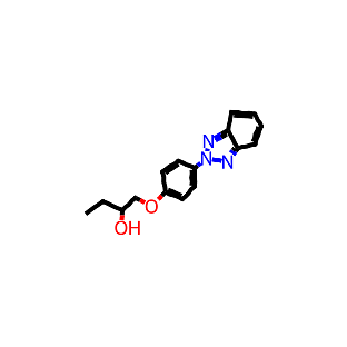 CCC(O)COc1ccc(-n2nc3ccccc3n2)cc1